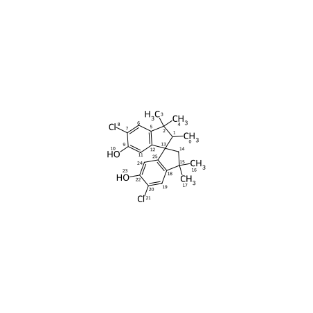 CC1C(C)(C)c2cc(Cl)c(O)cc2C12CC(C)(C)c1cc(Cl)c(O)cc12